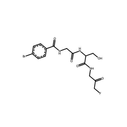 O=C(CF)CNC(=O)C(CO)NC(=O)CNC(=O)c1ccc(Br)cc1